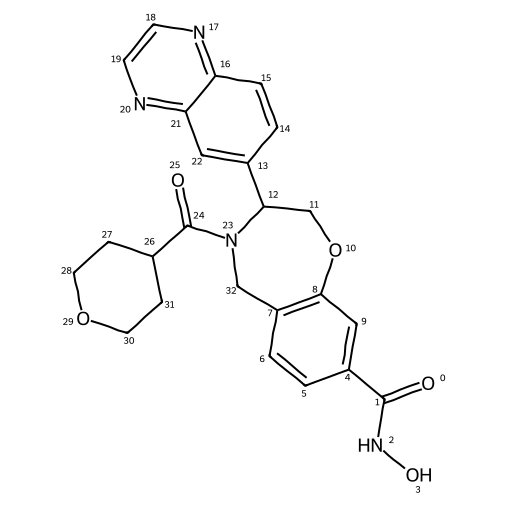 O=C(NO)c1ccc2c(c1)OCC(c1ccc3nccnc3c1)N(C(=O)C1CCOCC1)C2